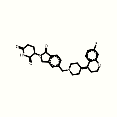 O=C1CCC(N2Cc3cc(CN4CCC(=C5CCOc6cc(F)ccc65)CC4)ccc3C2=O)C(=O)N1